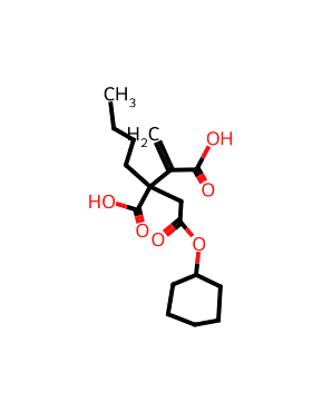 C=C(C(=O)O)C(CCCC)(CC(=O)OC1CCCCC1)C(=O)O